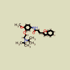 COc1ccc(NC(=O)/C=C/c2cc3ccccc3o2)cc1OCCN(C(C)C)C(C)C